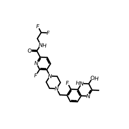 CC1=Nc2ccc(CN3CCN(c4ccc(C(=O)NCC(F)F)nc4F)CC3)c(F)c2NC1O